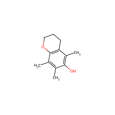 Cc1c(C)c2c(c(C)c1O)CC[C]O2